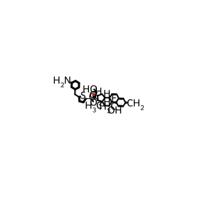 C=C1C=C[C@@]2(C)C(=C1)CC[C@H]1[C@@H]3C[C@H]4O[C@H](c5ccc(Cc6cccc(N)c6)s5)O[C@@]4(C(=O)CO)[C@@]3(C)C[C@H](O)[C@@]12F